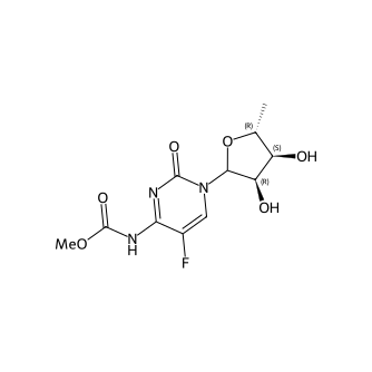 COC(=O)Nc1nc(=O)n(C2O[C@H](C)[C@@H](O)[C@H]2O)cc1F